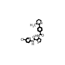 CN1CCCN=C1c1ccc(C(=O)NC2=C(C(=O)Nc3ccc(Cl)cn3)SCC2)cc1